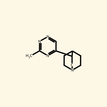 Cc1nncc(C2CN3CCC2CC3)n1